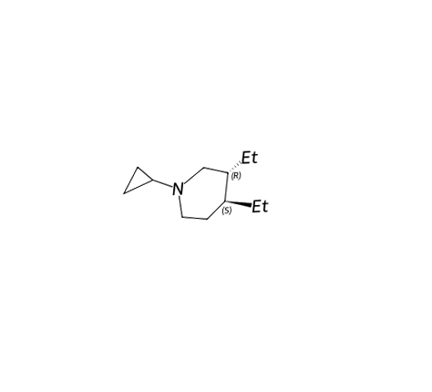 CC[C@H]1CCN(C2CC2)C[C@@H]1CC